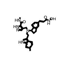 CNC(=O)c1[nH]ncc1CN(CCc1c[nH]c2cc(C)ccc12)C1CCc2cc(C=CC(=O)NO)ccc21